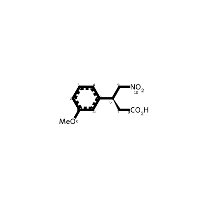 COc1cccc([C@H](CC(=O)O)C[N+](=O)[O-])c1